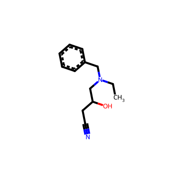 CCN(Cc1ccccc1)CC(O)CC#N